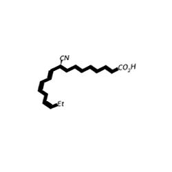 CC/C=C\C/C=C\C=C\[C@H](C#N)CCCCCCCC(=O)O